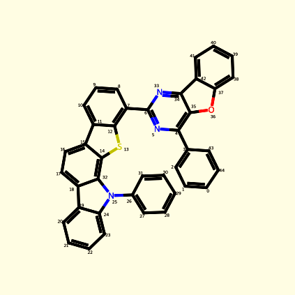 c1ccc(-c2nc(-c3cccc4c3sc3c4ccc4c5ccccc5n(-c5ccccc5)c43)nc3c2oc2ccccc23)cc1